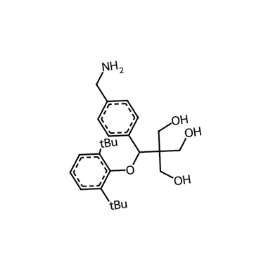 CC(C)(C)c1cccc(C(C)(C)C)c1OC(c1ccc(CN)cc1)C(CO)(CO)CO